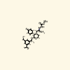 CC(F)c1cc(CF)cc([C@@H](C)O[C@H]2OCCN(C/C(N)=N/NC(=O)OC(C)(C)C)[C@H]2c2ccc(F)cc2)c1